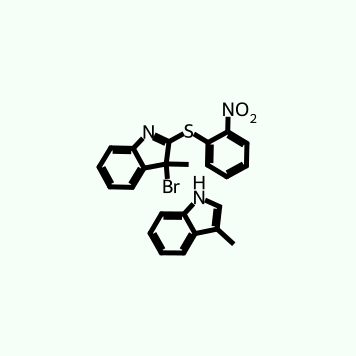 CC1(Br)C(Sc2ccccc2[N+](=O)[O-])=Nc2ccccc21.Cc1c[nH]c2ccccc12